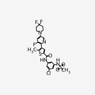 Cc1sc(C(=O)Nc2cc(Cl)cc(NS(C)(=O)=O)c2)cc1-c1ncc(N2CCC(F)(F)CC2)cc1F